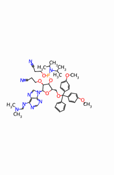 COc1ccc(C(OC[C@H]2O[C@@H](n3cnc4c(/N=C/N(C)C)ncnc43)[C@@H](OCCC#N)C2OP(OCCC#N)N(C(C)C)C(C)C)(c2ccccc2)c2ccc(OC)cc2)cc1